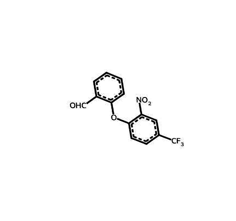 O=Cc1ccccc1Oc1ccc(C(F)(F)F)cc1[N+](=O)[O-]